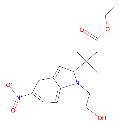 CCOC(=O)CC(C)(C)C1C=C2CC([N+](=O)[O-])=CC=C2N1CCO